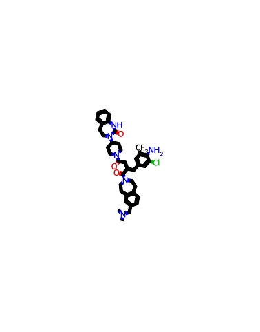 CN(C)Cc1ccc2c(c1)CCN(C(=O)C(CC(=O)N1CCC(N3CCc4ccccc4NC3=O)CC1)Cc1cc(Cl)c(N)c(C(F)(F)F)c1)CC2